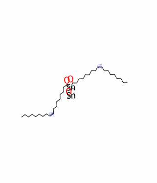 CCCCCCCC/C=C\CCCCCCC[C](=O)[Sn]([CH3])([O][Sn]([CH3])([CH3])[CH3])[C](=O)CCCCCCC/C=C\CCCCCCCC